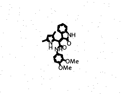 COc1ccc(NC(=O)C(=C2C(=O)Nc3ccccc32)c2[nH]c(C)cc2C)cc1OC